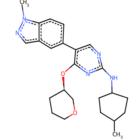 CC1CCC(Nc2ncc(-c3ccc4c(cnn4C)c3)c(O[C@@H]3CCCOC3)n2)CC1